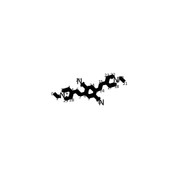 CC[n+]1ccc(/C=C/c2cc(C#N)c(/C=C/c3cc[n+](CC)cc3)cc2C#N)cc1